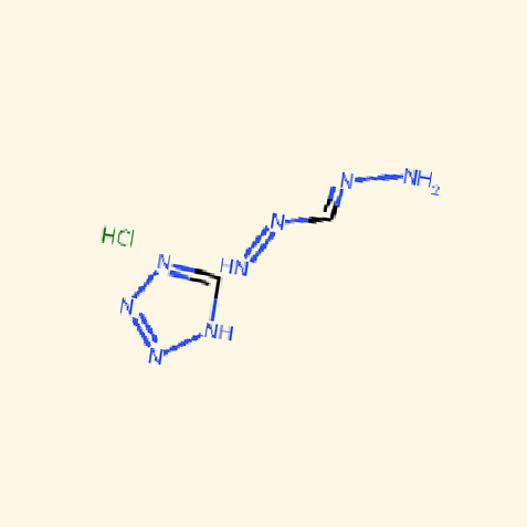 Cl.N=NC=NN.c1nnn[nH]1